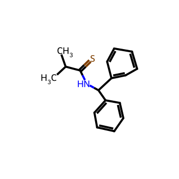 CC(C)C(=S)NC(c1ccccc1)c1ccccc1